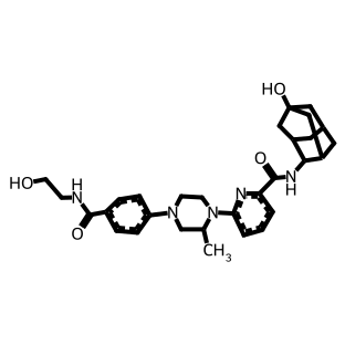 CC1CN(c2ccc(C(=O)NCCO)cc2)CCN1c1cccc(C(=O)NC2C3CC4CC2CC(O)(C4)C3)n1